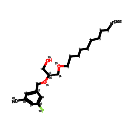 CCCCCCCCCCCCCCCCCCCOC[C@H](CO)OCc1cc(F)cc(C#N)c1